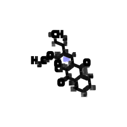 CCC/C(=C/C1=C(Cl)C(=O)c2ccccc2C1=O)C(=O)OC